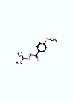 COc1ccc(C(=O)NOC(C)C)cc1